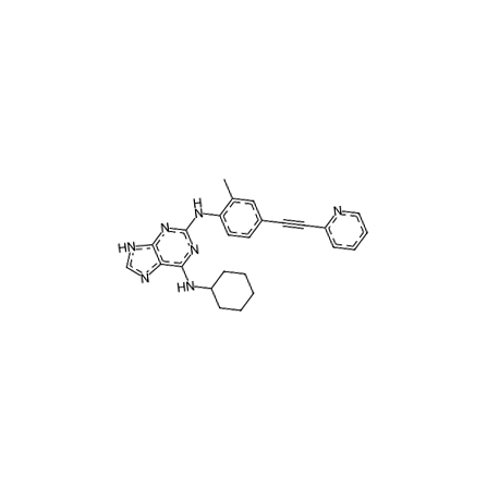 Cc1cc(C#Cc2ccccn2)ccc1Nc1nc(NC2CCCCC2)c2nc[nH]c2n1